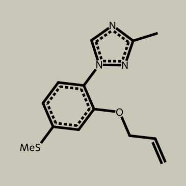 C=CCOc1cc(SC)ccc1-n1cnc(C)n1